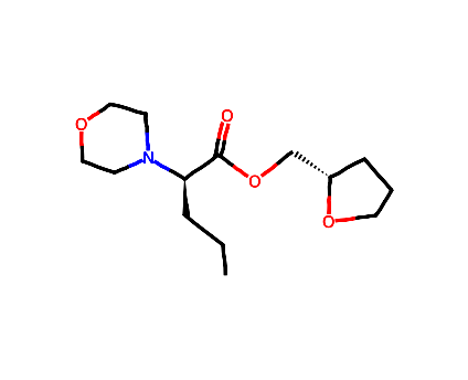 CCC[C@H](C(=O)OC[C@@H]1CCCO1)N1CCOCC1